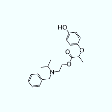 CC(Oc1ccc(O)cc1)C(=O)OCCN(Cc1ccccc1)C(C)C